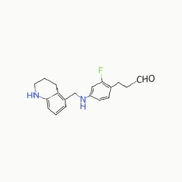 O=CCCc1ccc(NCc2cccc3c2CCCN3)cc1F